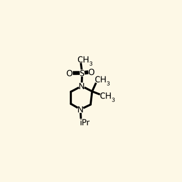 CC(C)N1CCN(S(C)(=O)=O)C(C)(C)C1